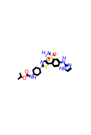 CC(C)OC(=O)N[C@H]1CC[C@H](c2ncc(-c3ccc(Nc4ncc[nH]4)cc3S(N)(=O)=O)s2)CC1